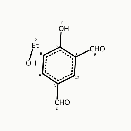 CCO.O=Cc1ccc(O)c(C=O)c1